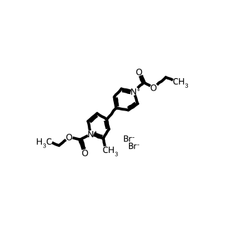 CCOC(=O)[n+]1ccc(-c2cc[n+](C(=O)OCC)c(C)c2)cc1.[Br-].[Br-]